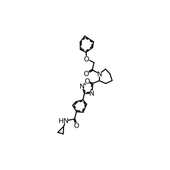 O=C(NC1CC1)c1ccc(-c2noc(C3CCCCN3C(=O)COc3ccccc3)n2)cc1